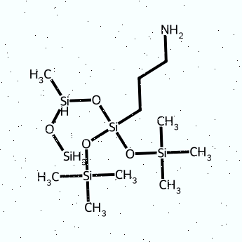 C[SiH](O[SiH3])O[Si](CCCN)(O[Si](C)(C)C)O[Si](C)(C)C